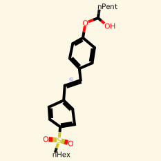 CCCCCCS(=O)(=O)c1ccc(/C=C/c2ccc(OC(O)CCCCC)cc2)cc1